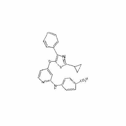 O=C(O)c1ccc(Nc2cc(Oc3sc(C4CC4)nc3-c3ccccc3)ccn2)cc1